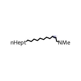 CCCCCCCCCCCCCCC/C=C\CNC